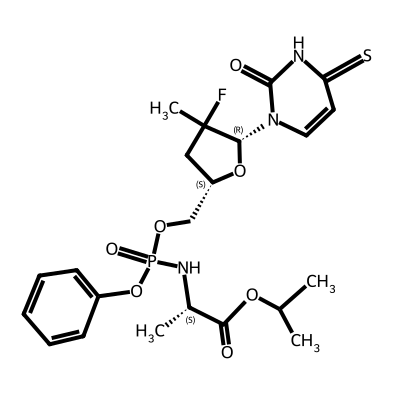 CC(C)OC(=O)[C@H](C)NP(=O)(OC[C@@H]1CC(C)(F)[C@H](n2ccc(=S)[nH]c2=O)O1)Oc1ccccc1